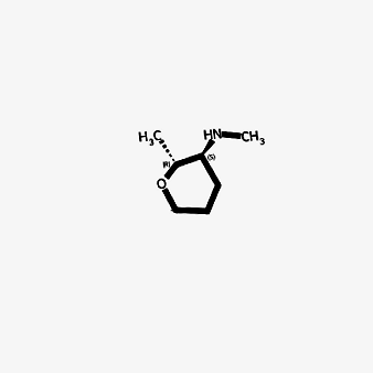 CN[C@H]1CC[CH]O[C@@H]1C